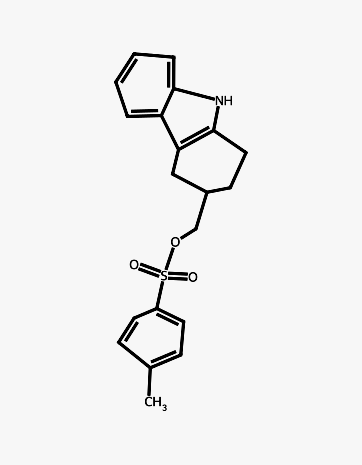 Cc1ccc(S(=O)(=O)OCC2CCc3[nH]c4ccccc4c3C2)cc1